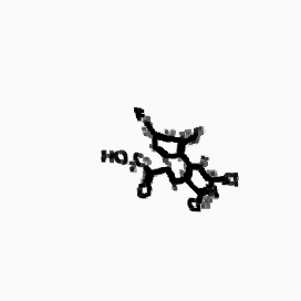 O=C(O)C(=O)C=Cc1c(-c2ccc(F)cc2F)cc(Cl)nc1Cl